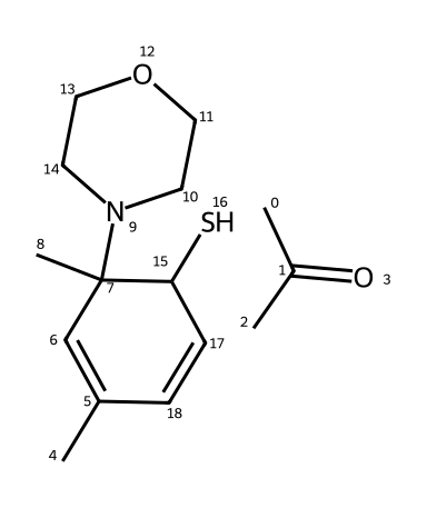 CC(C)=O.CC1=CC(C)(N2CCOCC2)C(S)C=C1